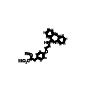 CCOC(=O)C(Cc1ccc(OCCNC2=Nc3ccccc3Sc3ccccc32)cc1)OCC